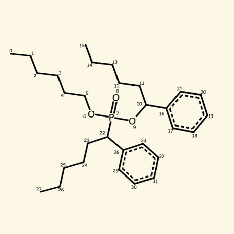 CCCCCCOP(=O)(OC(CCCCC)c1ccccc1)C(CCCCC)c1ccccc1